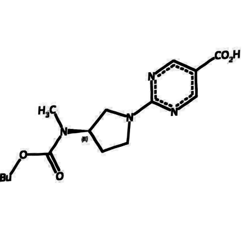 CN(C(=O)OC(C)(C)C)[C@@H]1CCN(c2ncc(C(=O)O)cn2)C1